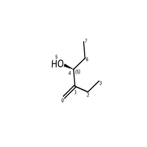 C=C(CC)[C@@H](O)CC